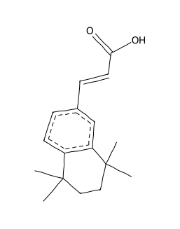 CC1(C)CCC(C)(C)c2cc(C=CC(=O)O)ccc21